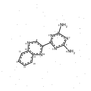 Nc1nc(N)nc(-c2cnc3ccccc3n2)n1